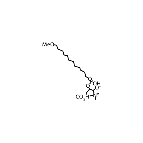 COCCCCCCCCCCCCOP(O)OC(CC(=O)O)C([O-])[N+](C)(C)C